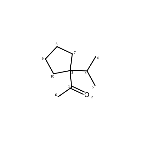 CC(=O)C1(C(C)C)CCCC1